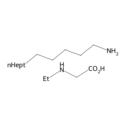 CCCCCCCCCCCCN.CCNCC(=O)O